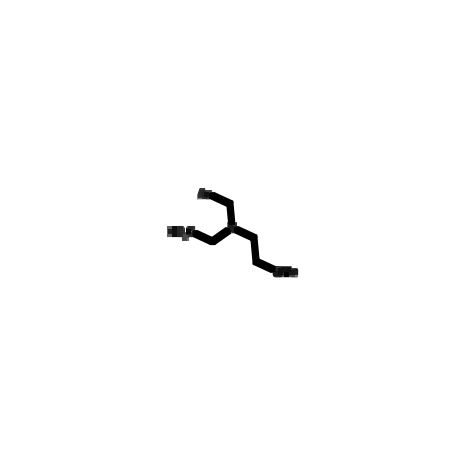 COCCN(CC(C)=O)CC(=O)O